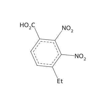 CCc1ccc(C(=O)O)c([N+](=O)[O-])c1[N+](=O)[O-]